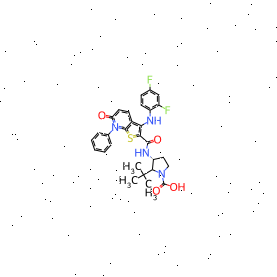 CC(C)(C)C1[C@H](NC(=O)c2sc3c(ccc(=O)n3-c3ccccc3)c2Nc2ccc(F)cc2F)CCN1C(=O)O